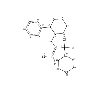 CCC(C)=C(CN1CCCCC1c1ccccc1)C(C)(Cl)N1CCOCC1